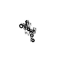 CCC(=O)N[C@@H](C(=O)N1CCN(Cc2ccccn2)CC1)[C@@H](C)c1ccc(NC(=O)[C@@H](NC(=O)c2ccnn2CC)C2CCCCCC2)c(F)c1